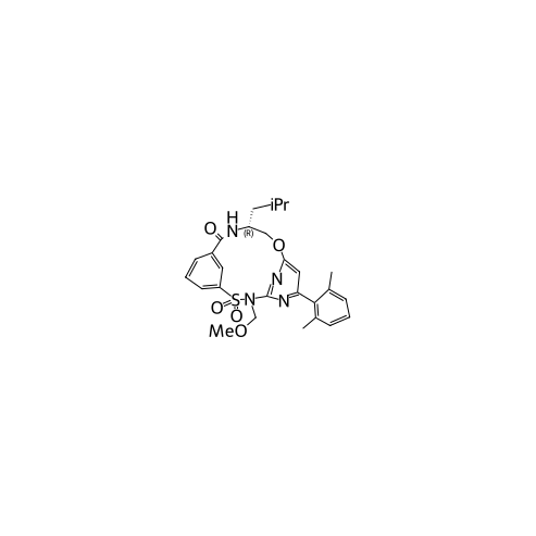 COCN1c2nc(cc(-c3c(C)cccc3C)n2)OC[C@@H](CC(C)C)NC(=O)c2cccc(c2)S1(=O)=O